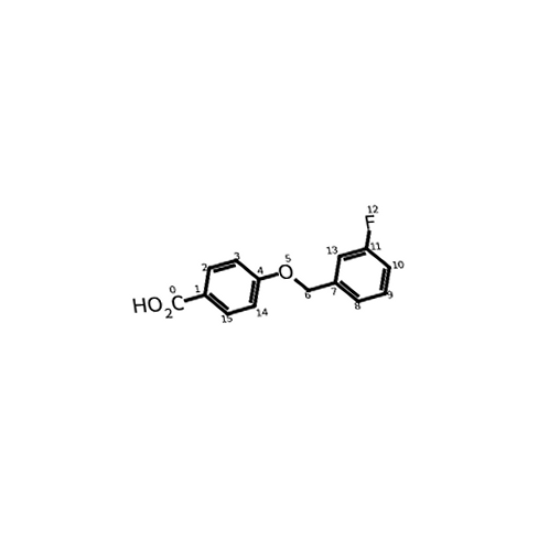 O=C(O)c1ccc(OCc2cccc(F)c2)cc1